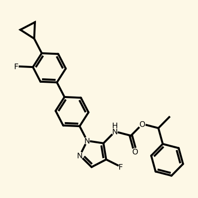 CC(OC(=O)Nc1c(F)cnn1-c1ccc(-c2ccc(C3CC3)c(F)c2)cc1)c1ccccc1